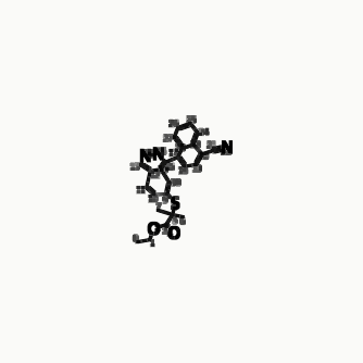 CCOC(=O)C(C)(C)Sc1ccc2cnnc(-c3ccc(C#N)c4ccccc34)c2c1